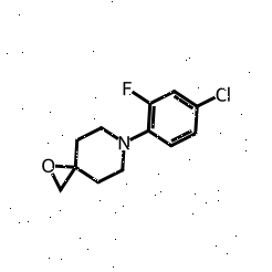 Fc1cc(Cl)ccc1N1CCC2(CC1)CO2